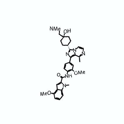 CNC[C@]1(O)CC[C@H](c2nc(-c3ccc(NC(=O)c4cc5c(OC)cccc5n4C)c(OC)c3)c3c(C)nccn32)CC1